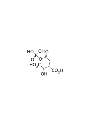 O=C(CC(C(=O)O)C(O)C(=O)O)OP(=O)(O)O